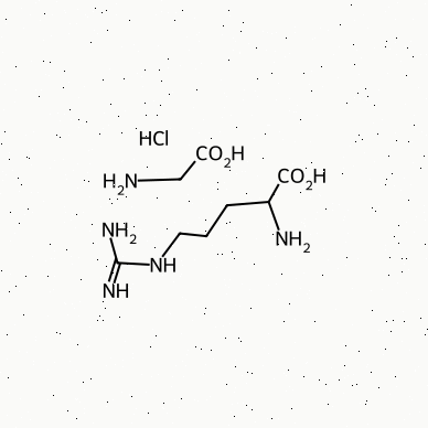 Cl.N=C(N)NCCCC(N)C(=O)O.NCC(=O)O